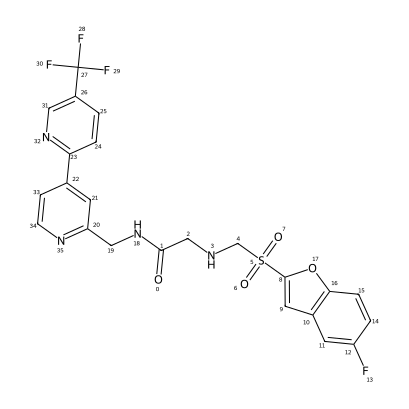 O=C(CNCS(=O)(=O)c1cc2cc(F)ccc2o1)NCc1cc(-c2ccc(C(F)(F)F)cn2)ccn1